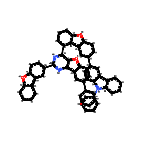 c1ccc(-c2ccc3oc4c(-c5cccc6oc7ccc(-c8ccc9c(c8)c8ccccc8n9-c8ccccc8)cc7c56)nc(-c5ccc6oc7ccccc7c6c5)nc4c3c2)cc1